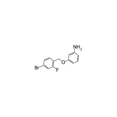 Nc1cccc(OCc2ccc(Br)cc2F)c1